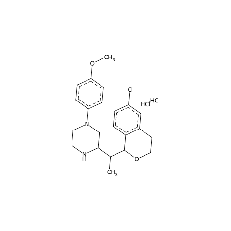 COc1ccc(N2CCNC(C(C)C3OCCc4cc(Cl)ccc43)C2)cc1.Cl.Cl